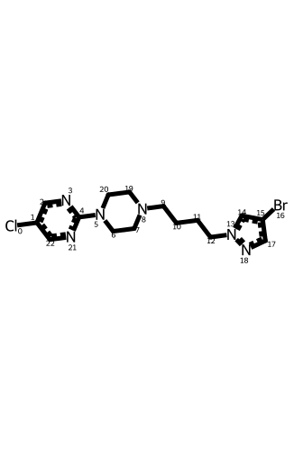 Clc1cnc(N2CCN(CCCCn3cc(Br)cn3)CC2)nc1